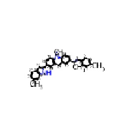 C/C(=C\c1ccc(C)cc1)c1ccc2c(c1)Cc1cc(-c3cc4ccc(C)cc4[nH]3)ccc1N2C